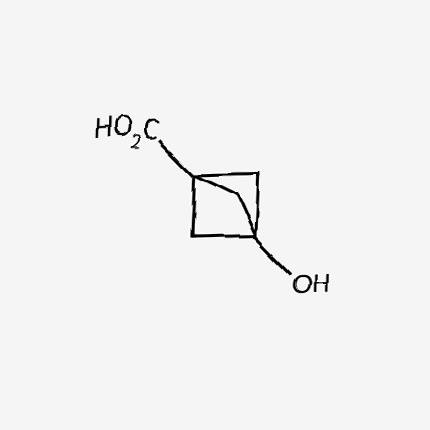 O=C(O)C12CC(O)(C1)C2